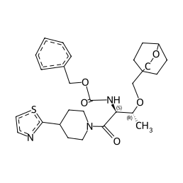 C[C@@H](OCC12CCC(CC1)OC2)[C@H](NC(=O)OCc1ccccc1)C(=O)N1CCC(c2nccs2)CC1